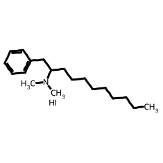 CCCCCCCCCC(Cc1ccccc1)N(C)C.I